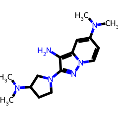 CN(C)c1ccn2nc(N3CCC(N(C)C)C3)c(N)c2c1